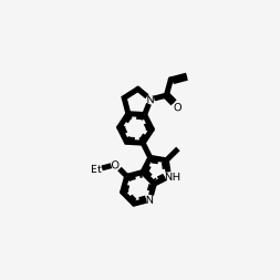 C=CC(=O)N1CCc2ccc(-c3c(C)[nH]c4nccc(OCC)c34)cc21